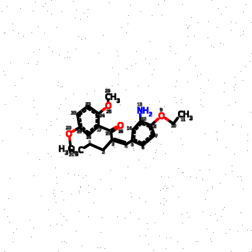 CCCC(=Cc1ccc(OCC)c(N)c1)C(=O)c1cc(OC)ccc1OC